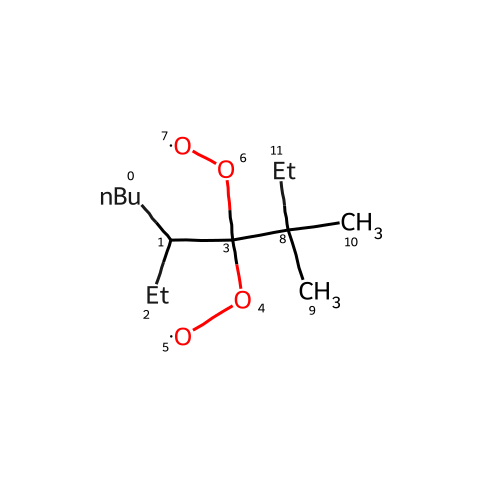 CCCCC(CC)C(O[O])(O[O])C(C)(C)CC